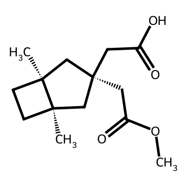 COC(=O)C[C@@]1(CC(=O)O)C[C@]2(C)CC[C@]2(C)C1